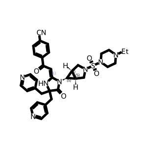 CCN1CCN(S(=O)(=O)N2C[C@@H]3[C@H](C2)[C@H]3N2C(=O)C(Cc3ccncc3)(Cc3ccncc3)N/C2=C\C(=O)c2ccc(C#N)cc2)CC1